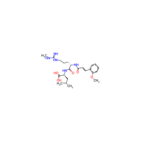 CNC(=N)NCCC[C@H](NC(=O)/C=C/c1ccccc1OC)C(=O)N[C@@H](CC(C)C)B(O)O